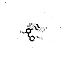 CCOc1ccc(Cl)cc1CN1CCO[C@@H](CN)C1.O=C(O)CCC(=O)O.O=C(O)CCC(=O)O